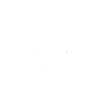 CS(=O)(=O)O.NC(=O)C(NCc1ccc(OCc2cccc(Br)c2)cc1)c1ccccc1